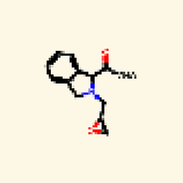 O=CC(=O)C1c2ccccc2CN1CC1CO1